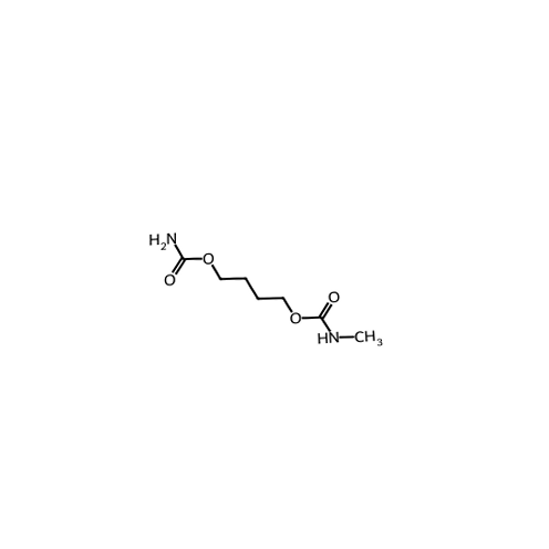 CNC(=O)OCCCCOC(N)=O